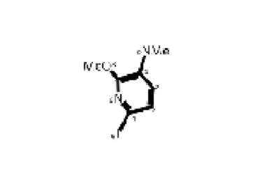 CNc1ccc(I)nc1OC